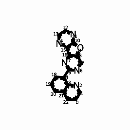 c1cnc2c(-c3ncc4oc5nccnc5c4n3)cccc2c1